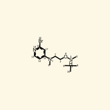 CN(CCO[SiH](C)C(C)(C)C)c1ccnc(Br)c1